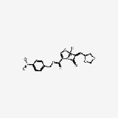 O=C(OCc1ccc([N+](=O)[O-])cc1)C1=CS[C@@H]2C(=CC3COCO3)C(=O)N12